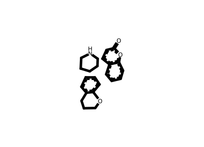 C1CCNCC1.O=c1ccc2ccccc2o1.c1ccc2c(c1)CCCO2